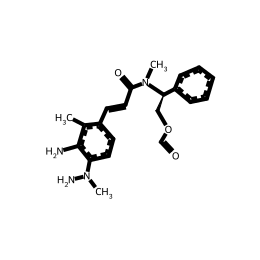 Cc1c(/C=C/C(=O)N(C)[C@H](COC=O)c2ccccc2)ccc(N(C)N)c1N